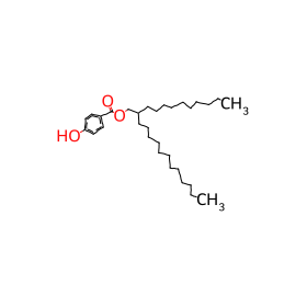 CCCCCCCCCCCCC(CCCCCCCCCC)COC(=O)c1ccc(O)cc1